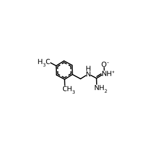 Cc1ccc(CN/C(N)=[NH+]\[O-])c(C)c1